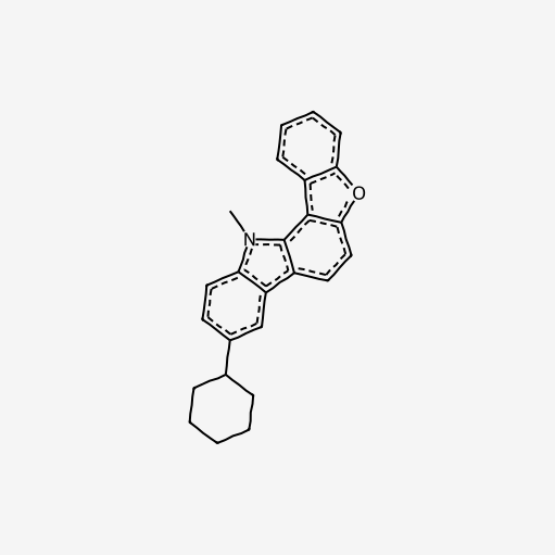 Cn1c2ccc(C3CCCCC3)cc2c2ccc3oc4ccccc4c3c21